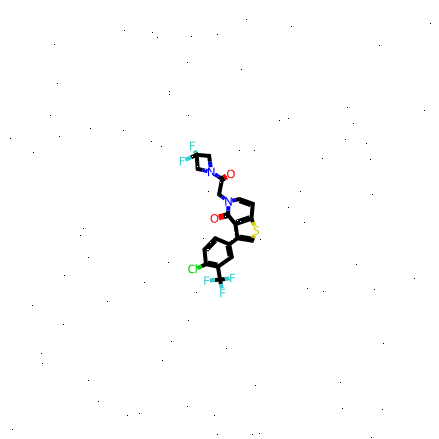 O=C(Cn1ccc2scc(-c3ccc(Cl)c(C(F)(F)F)c3)c2c1=O)N1CC(F)(F)C1